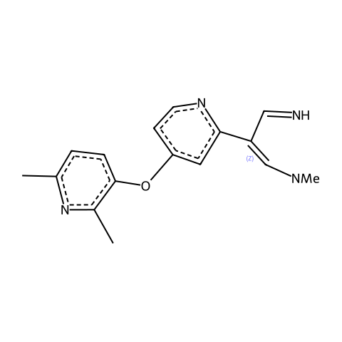 CN/C=C(\C=N)c1cc(Oc2ccc(C)nc2C)ccn1